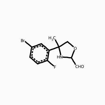 CC1(c2cc(Br)ccc2F)COC(C=O)N1